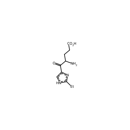 CCc1nc(C(=O)C(N)CCC(=O)O)c[nH]1